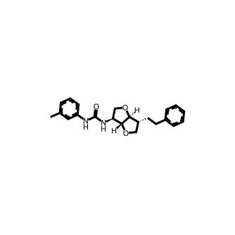 Cc1cccc(NC(=O)N[C@H]2CO[C@H]3[C@H](CCc4ccccc4)CO[C@@H]32)c1